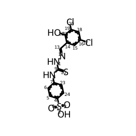 O=S(=O)(O)c1ccc(NC(=S)NN=Cc2cc(Cl)cc(Cl)c2O)cc1